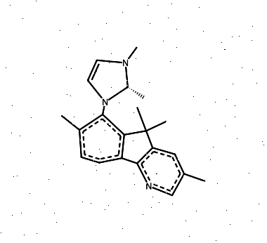 Cc1cnc2c(c1)C(C)(C)c1c-2ccc(C)c1N1C=CN(C)[C@@H]1C